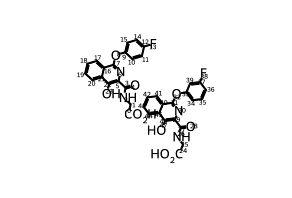 O=C(O)CNC(=O)c1nc(Oc2ccc(F)cc2)c2ccccc2c1O.O=C(O)CNC(=O)c1nc(Oc2cccc(F)c2)c2ccccc2c1O